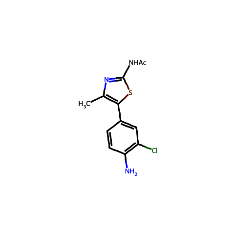 CC(=O)Nc1nc(C)c(-c2ccc(N)c(Cl)c2)s1